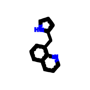 c1c[nH]c(Cc2cccc3cccnc23)c1